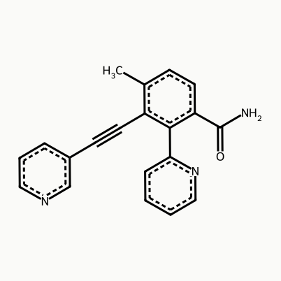 Cc1ccc(C(N)=O)c(-c2ccccn2)c1C#Cc1cccnc1